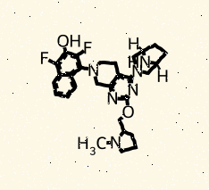 CN1CCCC1COc1nc2c(c(N3C[C@H]4CC[C@@H](C3)N4)n1)CCN(c1c(F)c(O)c(F)c3ccccc13)C2